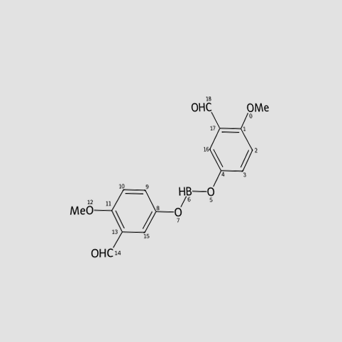 COc1ccc(OBOc2ccc(OC)c(C=O)c2)cc1C=O